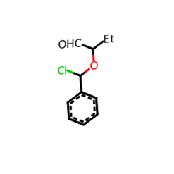 CCC(C=O)OC(Cl)c1ccccc1